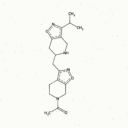 CC(=O)N1CCc2c(CC3Cc4onc(C(C)C)c4CN3)noc2C1